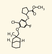 COC(=O)C1CCCC1Sc1cc(Cl)c(OCC2(C)C[C@@H]3CCC[C@@H](C3)C2)cc1F